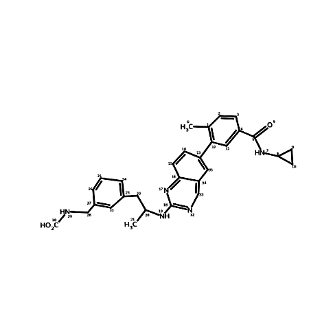 Cc1ccc(C(=O)NC2CC2)cc1-c1ccc2nc(NC(C)Cc3cccc(CNC(=O)O)c3)ncc2c1